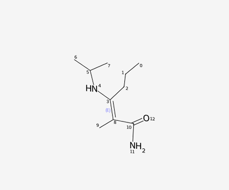 CCC/C(NC(C)C)=C(/C)C(N)=O